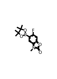 Cn1c(=O)oc2cc(F)c(B3OC(C)(C)C(C)(C)O3)cc21